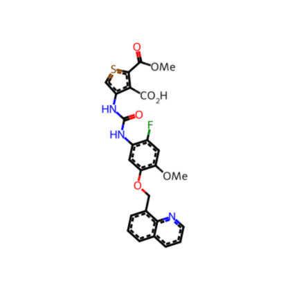 COC(=O)c1scc(NC(=O)Nc2cc(OCc3cccc4cccnc34)c(OC)cc2F)c1C(=O)O